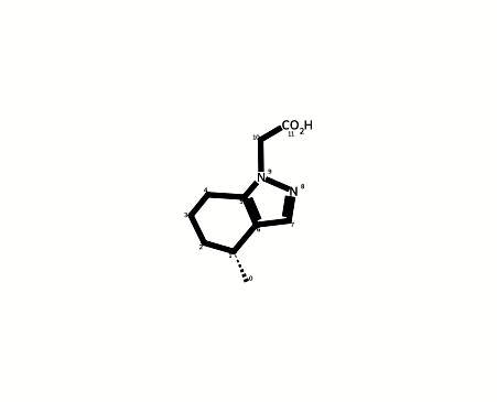 C[C@@H]1CCCc2c1cnn2CC(=O)O